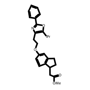 COC(=O)CC1CCc2cc(OCCc3nc(-c4ccccc4)oc3C(C)C)ccc21